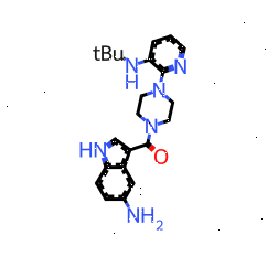 CC(C)(C)Nc1cccnc1N1CCN(C(=O)c2c[nH]c3ccc(N)cc23)CC1